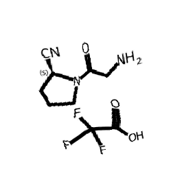 N#C[C@@H]1CCCN1C(=O)CN.O=C(O)C(F)(F)F